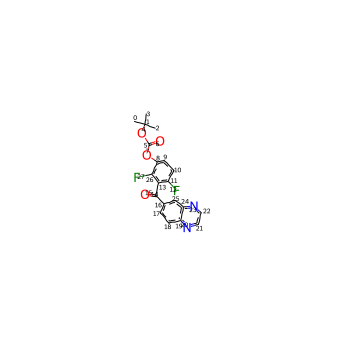 CC(C)(C)OC(=O)Oc1ccc(F)c(C(=O)c2ccc3nccnc3c2)c1F